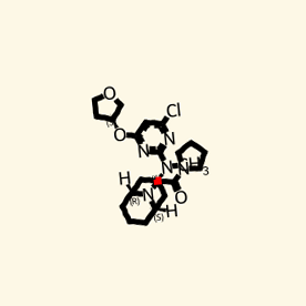 CN(c1nc(Cl)cc(O[C@H]2CCOC2)n1)[C@@H]1C[C@H]2CCC[C@@H](C1)N2CC(=O)N1CCCC1